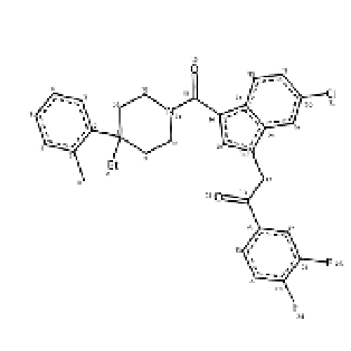 CCC1(c2ccccc2C)CCN(C(=O)c2cn(CC(=O)c3ccc(F)c(F)c3)c3cc(Cl)ccc23)CC1